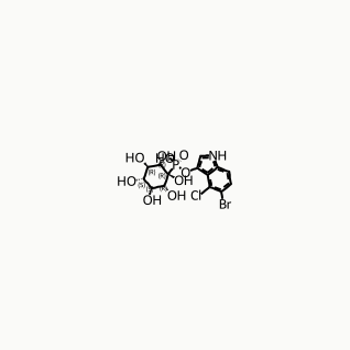 O=P(O)(Oc1c[nH]c2ccc(Br)c(Cl)c12)[C@@]1(O)[C@H](O)[C@H](O)[C@@H](O)[C@H](O)[C@H]1O